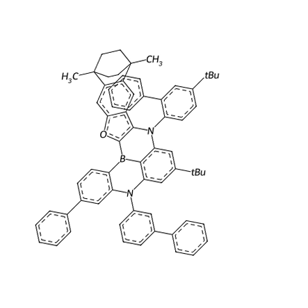 CC(C)(C)c1ccc(N2c3cc(C(C)(C)C)cc4c3B(c3ccc(-c5ccccc5)cc3N4c3cccc(-c4ccccc4)c3)c3oc4cc5c(cc4c32)C2(C)CCC5(C)CC2)c(-c2ccccc2)c1